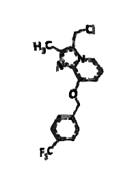 Cc1nc2c(OCc3ccc(C(F)(F)F)cc3)cccn2c1CCl